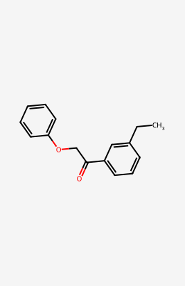 CCc1cccc(C(=O)COc2ccccc2)c1